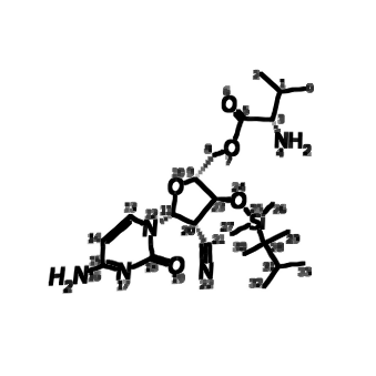 CC(C)[C@H](N)C(=O)OC[C@H]1O[C@@H](n2ccc(N)nc2=O)[C@@H](C#N)[C@@H]1O[Si](C)(C)C(C)(C)C(C)C